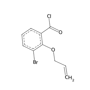 C=CCOc1c(Br)cccc1C(=O)Cl